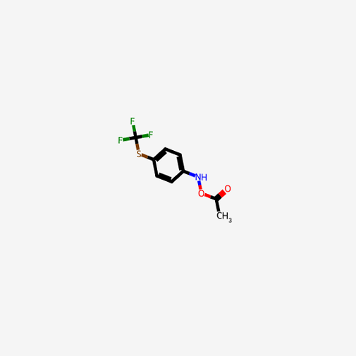 CC(=O)ONc1ccc(SC(F)(F)F)cc1